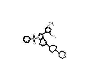 Cc1nn(C)cc1-c1cn(S(=O)(=O)c2ccccc2)c2ncc(C3CCC(N4CCOCC4)CC3)cc12